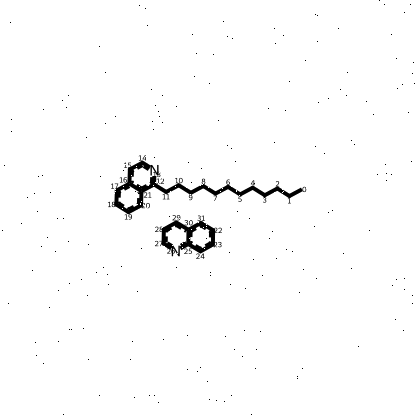 CCCCCCCCCCCCc1nccc2ccccc12.c1ccc2ncccc2c1